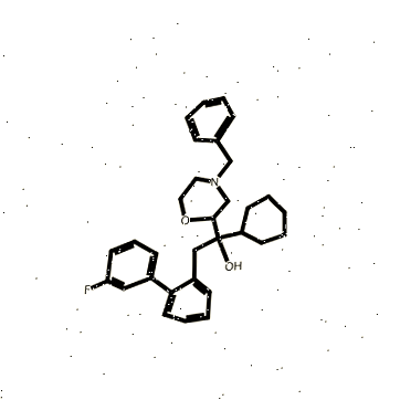 OC(Cc1ccccc1-c1cccc(F)c1)(C1CCCCC1)C1CN(Cc2ccccc2)CCO1